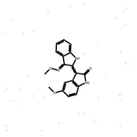 CO/N=C1/C(=C2/C(=O)Nc3ccc(OC)cc32)Nc2ccccc21